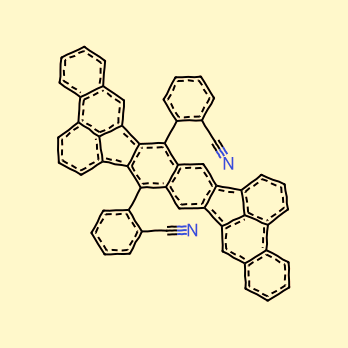 N#Cc1ccccc1-c1c2cc3c(cc2c(-c2ccccc2C#N)c2c4cc5ccccc5c5cccc(c12)c54)c1cccc2c4ccccc4cc3c21